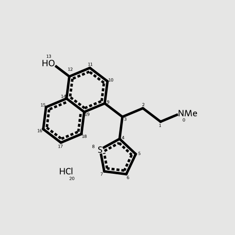 CNCCC(c1cccs1)c1ccc(O)c2ccccc12.Cl